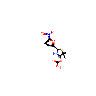 CC1(C)SC(c2ccc([N+](=O)[O-])o2)N[C@H]1OC(=O)O